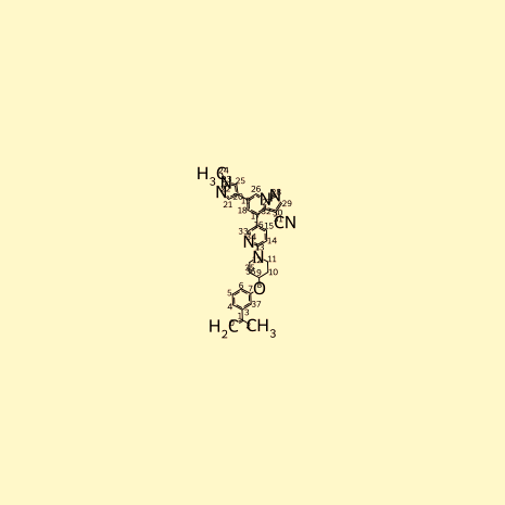 C=C(C)c1cccc(OC2CCN(c3ccc(-c4cc(-c5cnn(C)c5)cn5ncc(C#N)c45)cn3)CC2)c1